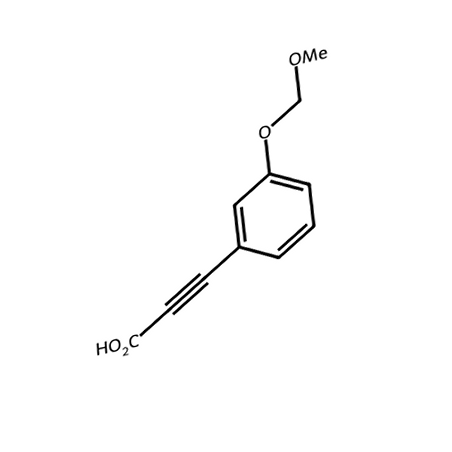 COCOc1cccc(C#CC(=O)O)c1